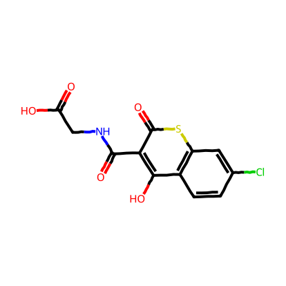 O=C(O)CNC(=O)c1c(O)c2ccc(Cl)cc2sc1=O